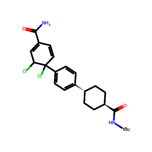 CC(C)(C)NC(=O)[C@H]1CC[C@H](c2ccc(C3(Cl)C=CC(C(N)=O)=CC3Cl)cc2)CC1